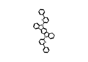 C1=Cc2c(c3cc4c(cc3n2-c2cccc(-c3ccccc3)n2)c2ccccc2n4-c2cccc(-c3ccccc3)n2)CC1